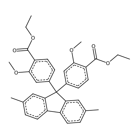 CCOC(=O)c1ccc(C2(c3ccc(C(=O)OCC)c(OC)c3)c3cc(C)ccc3-c3ccc(C)cc32)cc1OC